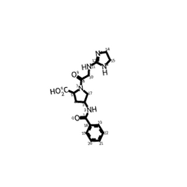 O=C(NC1CC(C(=O)O)N(C(=O)CNC2=NCCN2)C1)c1ccccc1